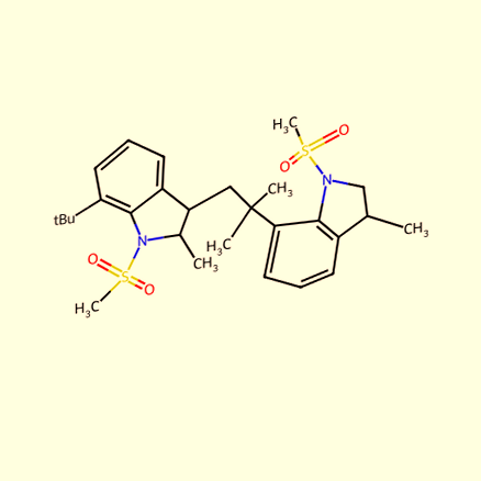 CC1CN(S(C)(=O)=O)c2c1cccc2C(C)(C)CC1c2cccc(C(C)(C)C)c2N(S(C)(=O)=O)C1C